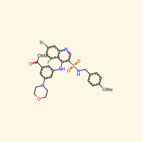 COC(=O)c1cc(Nc2c(S(=O)(=O)NCc3ccc(OC)cc3)cnc3cc(Br)cc(F)c23)cc(N2CCOCC2)c1